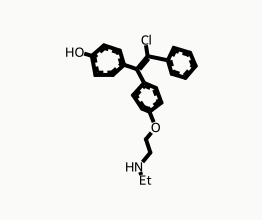 CCNCCOc1ccc(/C(=C(/Cl)c2ccccc2)c2ccc(O)cc2)cc1